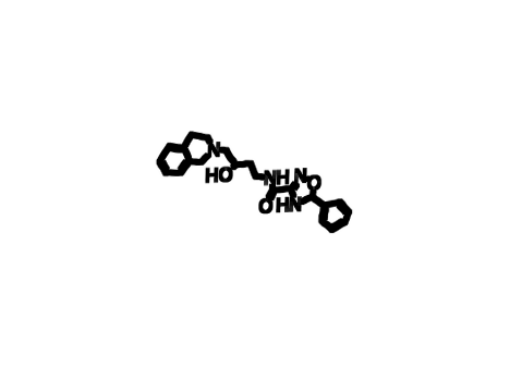 O=C(NCCC(O)CN1CCc2ccccc2C1)C1=NOC(c2ccccc2)N1